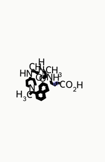 CC(NC(=O)C(C)NC1CCN(C(C)c2cccc3ccccc23)CC1)C(=O)NC/C=C/C(=O)O